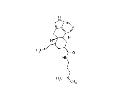 C=CCN1C[C@H](C(=O)NCCCN(C)C)C[C@@H]2c3cccc4[nH]cc(c34)C[C@H]21